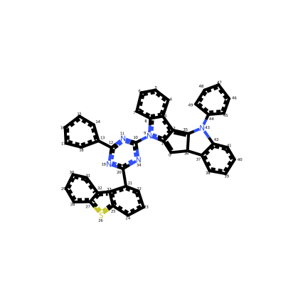 C1=c2c(c3ccccc3n2-c2nc(-c3ccccc3)nc(-c3cccc4sc5ccccc5c34)n2)=C2C1c1ccccc1N2c1ccccc1